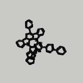 c1ccc(-c2ccc(-c3nc(-c4ccccc4)nc(-n4c5ccccc5c5c(-c6ccccc6)cc6c7ccccc7n(-c7cccc(-c8ccccc8)c7)c6c54)n3)cc2)cc1